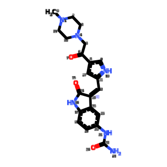 CN1CCN(CC(=O)c2c[nH]c(/C=C3\C(=O)Nc4ccc(NC(N)=O)cc43)c2)CC1